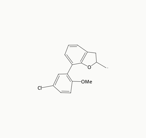 [CH2]C1Cc2cccc(-c3cc(Cl)ccc3OC)c2O1